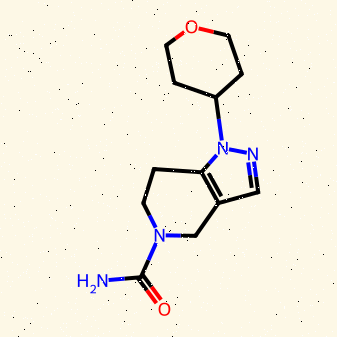 NC(=O)N1CCc2c(cnn2C2CCOCC2)C1